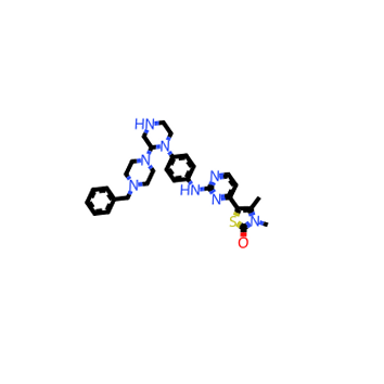 Cc1c(-c2ccnc(Nc3ccc(N4CCNCC4N4CCN(Cc5ccccc5)CC4)cc3)n2)sc(=O)n1C